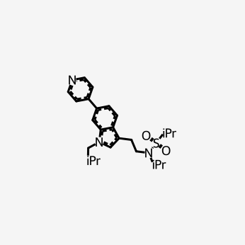 CC(C)Cn1cc(CCN(C(C)C)S(=O)(=O)C(C)C)c2ccc(-c3ccncc3)cc21